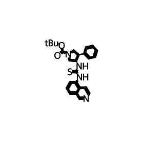 CC(C)(C)OC(=O)N1C[C@@H](NC(=S)Nc2cccc3cnccc23)[C@H](c2ccccc2)C1